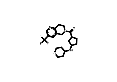 O=C(C1CCC(NC2CCOCC2)C1)N1CCc2ncc(C(F)(F)F)cc2C1